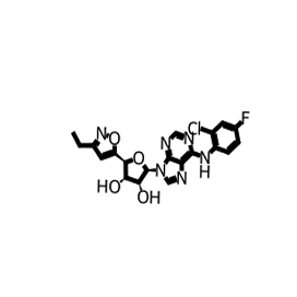 CCc1cc([C@H]2O[C@@H](n3cnc4c(Nc5ccc(F)cc5Cl)ncnc43)[C@H](O)[C@@H]2O)on1